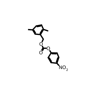 Cc1ccc(C)c(COC(=O)Oc2ccc([N+](=O)[O-])cc2)c1